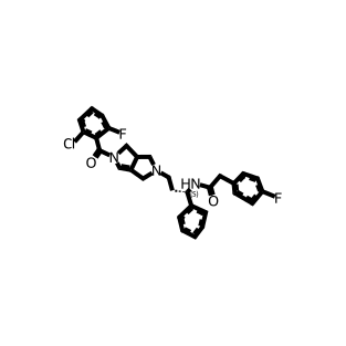 O=C(Cc1ccc(F)cc1)N[C@@H](CCN1CC2=CN(C(=O)c3c(F)cccc3Cl)CC2C1)c1ccccc1